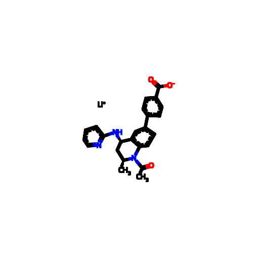 CC(=O)N1c2ccc(-c3ccc(C(=O)[O-])cc3)cc2[C@H](Nc2ccccn2)C[C@@H]1C.[Li+]